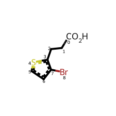 O=C(O)CCc1sccc1Br